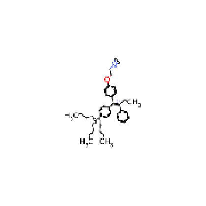 CCC[CH2][Sn]([CH2]CCC)([CH2]CCC)[c]1ccc(/C(=C(/CC)c2ccccc2)c2ccc(OCCN3CC3)cc2)cc1